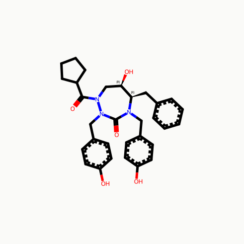 O=C(C1CCCC1)N1C[C@@H](O)[C@@H](Cc2ccccc2)N(Cc2ccc(O)cc2)C(=O)N1Cc1ccc(O)cc1